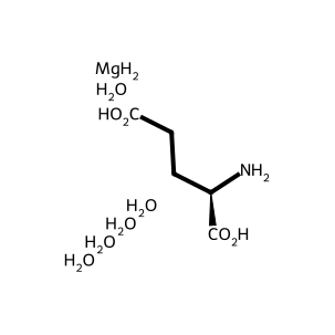 N[C@H](CCC(=O)O)C(=O)O.O.O.O.O.O.[MgH2]